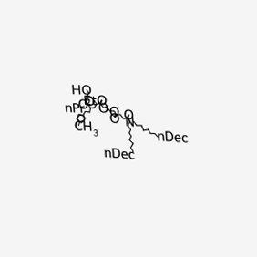 CCCCCCCCCCCCCCCCCCN(CCCCCCCCCCCCCCCCCC)C(=O)CCC(=O)OCCOC(=O)C(CC)CC(CC(CCC)c1ccc(C)cc1)C(=O)OCCO